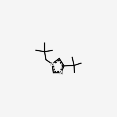 CC(C)(C)Cn1cnc(C(C)(C)C)c1